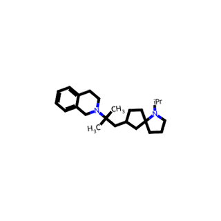 CC(C)N1CCCC12CCC(CC(C)(C)N1CCc3ccccc3C1)C2